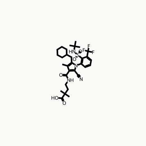 Cc1c(C(=O)NCCC(C)(C)C(=O)O)c(C#N)n(-c2cccc(C(F)(F)F)c2S(=O)(=O)NC(C)(C)C)c1CC1CCCCC1